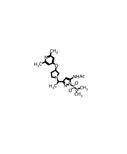 CC(=O)Nc1cc(C(C)N2CCC(Oc3cc(C)nc(C)c3)C2)nn1S(=O)(=O)N(C)C